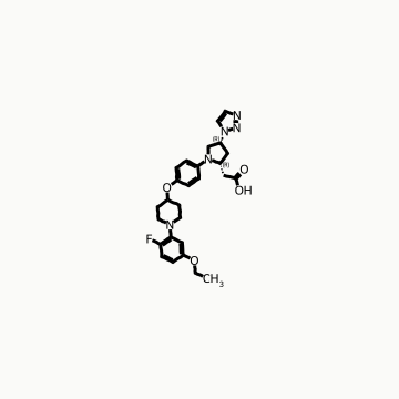 CCOc1ccc(F)c(N2CCC(Oc3ccc(N4C[C@H](n5ccnn5)C[C@@H]4CC(=O)O)cc3)CC2)c1